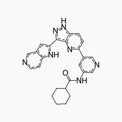 O=C(Nc1cncc(-c2ccc3[nH]nc(-c4cc5cnccc5[nH]4)c3n2)c1)C1CCCCC1